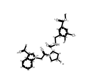 COC(=O)c1cc(Cl)c(F)c(CNC(=O)[C@@H]2C[C@@H](F)CN2C(=O)Cn2cc(C(C)=O)c3ccccc32)c1